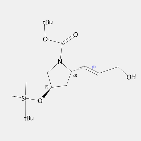 CC(C)(C)OC(=O)N1C[C@H](O[Si](C)(C)C(C)(C)C)C[C@H]1/C=C/CO